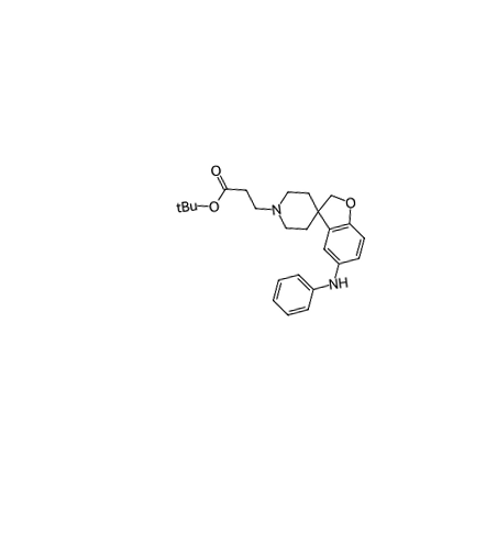 CC(C)(C)OC(=O)CCN1CCC2(CC1)COc1ccc(Nc3ccccc3)cc12